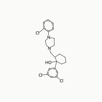 OC1(c2cc(Cl)cc(Cl)c2)CCCCC1CN1CCN(c2ccccc2Cl)CC1